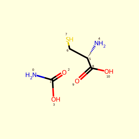 NC(=O)O.N[C@@H](CS)C(=O)O